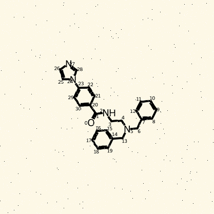 O=C(NCCN(Cc1ccccc1)Cc1ccccc1)c1ccc(-n2ccnc2)cc1